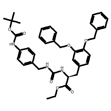 CCOC(=O)[C@H](Cc1ccc(OCc2ccccc2)c(OCc2ccccc2)c1)NC(=O)NCc1ccc(NC(=O)OC(C)(C)C)cc1